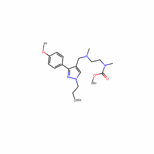 COCCn1cc(CN(C)CCN(C)C(=O)OC(C)(C)C)c(-c2ccc(OC(C)C)cc2)n1